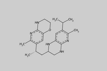 Cc1nc2c(cc1C(C)C)NC(C[C@H](C)c1cc3c(nc1C)NCCO3)CN2